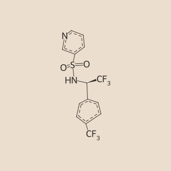 O=S(=O)(N[C@H](c1ccc(C(F)(F)F)cc1)C(F)(F)F)c1cccnc1